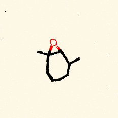 CC1CCCC2(C)OC12